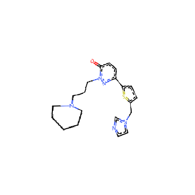 O=c1ccc(-c2ccc(Cn3ccnc3)s2)nn1CCCN1CCCCC1